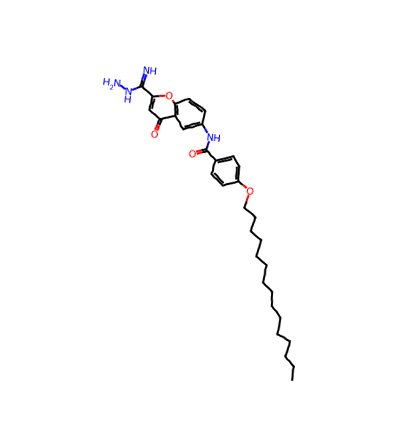 CCCCCCCCCCCCCCCOc1ccc(C(=O)Nc2ccc3oc(C(=N)NN)cc(=O)c3c2)cc1